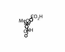 COc1cc(C(=O)O)ccc1Cn1cnc2ccc(NC(=O)CC3CCCC3)cc21